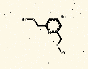 CC(C)SCc1cccc(CSC(C)C)n1.[Ru]